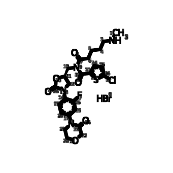 Br.CNCCCCC(=O)N(C[C@H]1CN(c2ccc(N3CCOCC3=O)cc2F)C(=O)O1)C(=O)c1ccc(Cl)s1